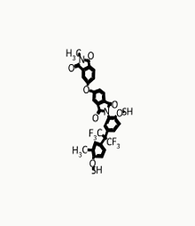 Cc1cc(C(c2ccc(OS)c(N3C(=O)c4ccc(Oc5ccc6c(c5)C(=O)N(C)C6=O)cc4C3=O)c2)(C(F)(F)F)C(F)(F)F)ccc1OS